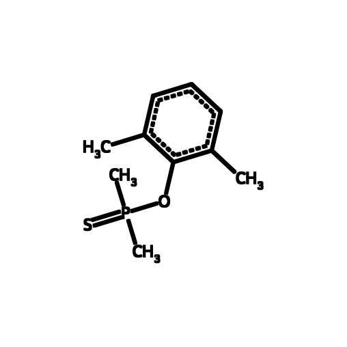 Cc1cccc(C)c1OP(C)(C)=S